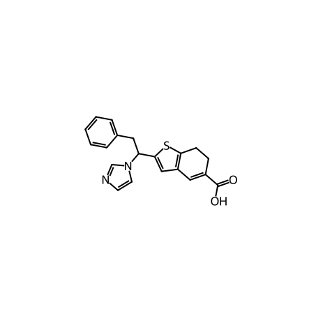 O=C(O)C1=Cc2cc(C(Cc3ccccc3)n3ccnc3)sc2CC1